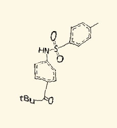 Cc1ccc(S(=O)(=O)Nc2ccc(C(=O)C(C)(C)C)cc2)cc1